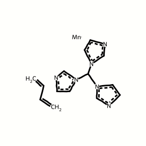 C=CC=C.[Mn].c1cn(C(n2ccnc2)n2ccnc2)cn1